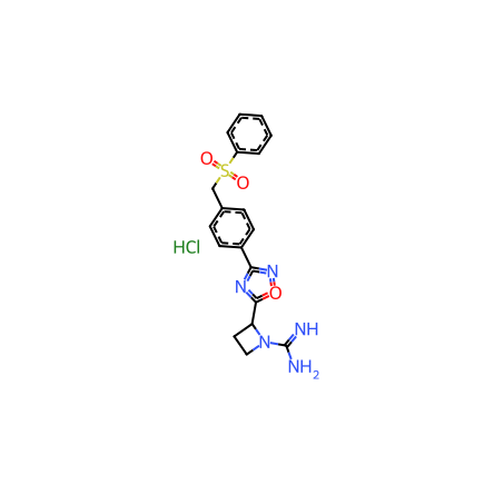 Cl.N=C(N)N1CCC1c1nc(-c2ccc(CS(=O)(=O)c3ccccc3)cc2)no1